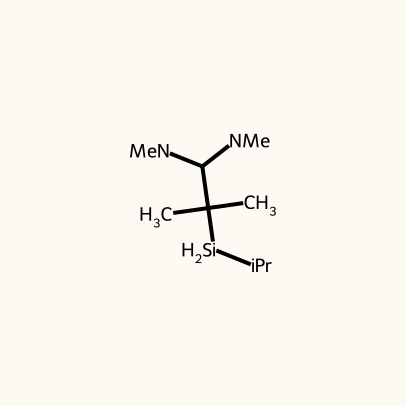 CNC(NC)C(C)(C)[SiH2]C(C)C